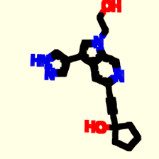 OCCn1cc(-c2cn[nH]c2)c2cc(C#CC3(O)CCCC3)ncc21